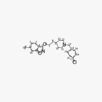 Fc1ccc2c(OCCC3CCN(Cc4ccc(Cl)cc4)CC3)noc2c1